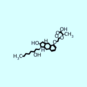 CCCCC[C@H](O)CC[C@@H]1[C@H]2Cc3cccc(OCC(=O)O[C@@H](C)C(=O)O)c3C[C@H]2C[C@H]1O